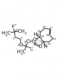 CC(C)(F)CCOC(C)(C)C[C@H]1O[C@H]2CC/C=C/CC[C@H]2O1